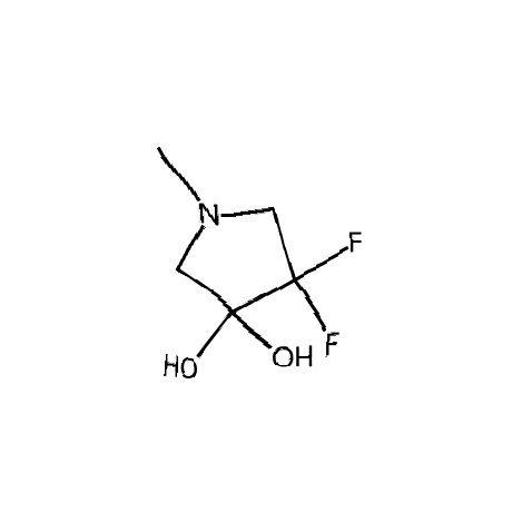 CN1CC(O)(O)C(F)(F)C1